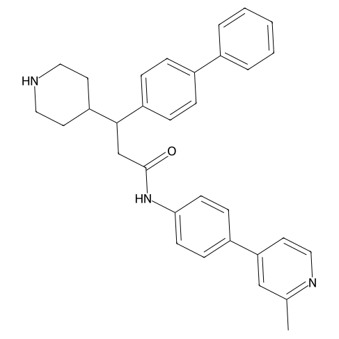 Cc1cc(-c2ccc(NC(=O)CC(c3ccc(-c4ccccc4)cc3)C3CCNCC3)cc2)ccn1